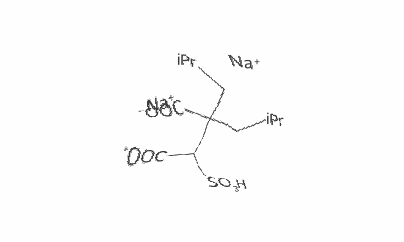 CC(C)CC(CC(C)C)(C(=O)[O-])C(C(=O)[O-])S(=O)(=O)O.[Na+].[Na+]